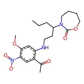 CCCC(CCNc1cc(OC)c([N+](=O)[O-])cc1C(C)=O)N1CCCCOC1=O